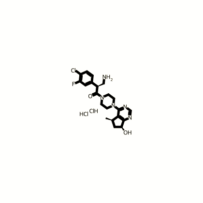 C[C@@H]1C[C@H](O)c2ncnc(N3CCN(C(=O)[C@H](CN)c4ccc(Cl)c(F)c4)CC3)c21.Cl.Cl